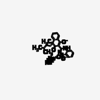 CC(C)CCC1(C)C(=O)C(C2=NS([O-])([O-])c3ccccc3N2)=C([O-])c2ccccc21.[Na+].[Na+].[Na+]